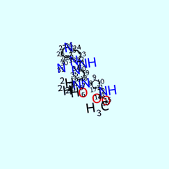 [2H]C([2H])([2H])n1c(=O)n([C@@H]2CC[C@@H](NC(=O)OC)C2)c2cc(Nc3ccc4nccc(C#N)c4n3)ncc21